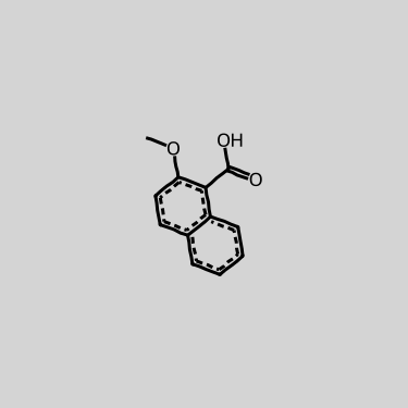 COc1ccc2ccccc2c1C(=O)O